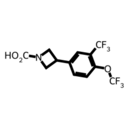 O=C(O)N1CC(c2ccc(OC(F)(F)F)c(C(F)(F)F)c2)C1